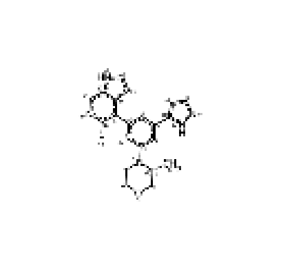 C[C@@H]1COCCN1c1cc(-c2ccn[nH]2)cc(-c2c(F)ncc3[nH]ccc23)n1